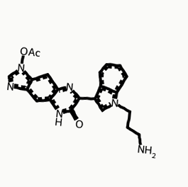 CC(=O)On1cnc2cc3[nH]c(=O)c(-c4cn(CCCN)c5ccccc45)nc3cc21